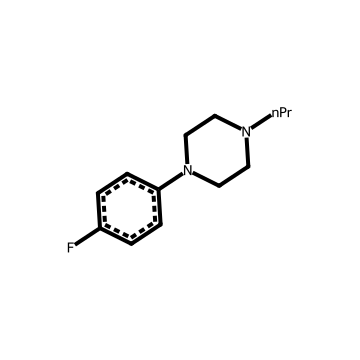 [CH2]CCN1CCN(c2ccc(F)cc2)CC1